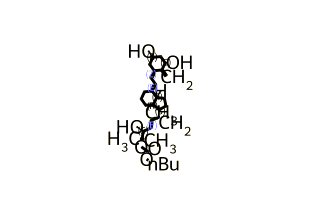 C=C(/C=C/[C@H](O)C(C)(C)OC(=O)OCCCC)[C@H]1CC[C@H]2/C(=C/C=C3/C[C@@H](O)C[C@H](O)C3=C)CCC[C@]12C